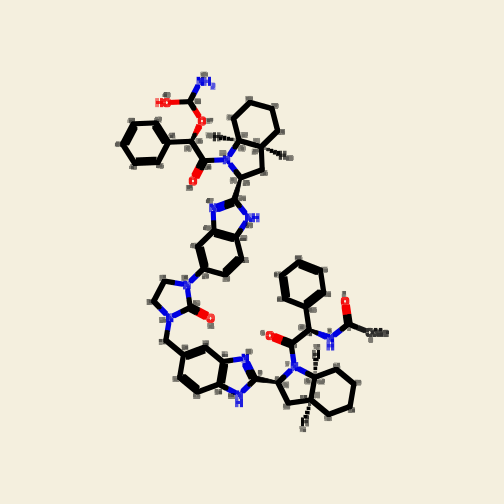 COC(=O)N[C@@H](C(=O)N1[C@H](c2nc3cc(CN4CCN(c5ccc6[nH]c([C@@H]7C[C@@H]8CCCC[C@@H]8N7C(=O)[C@H](OC(N)O)c7ccccc7)nc6c5)C4=O)ccc3[nH]2)C[C@@H]2CCCC[C@@H]21)c1ccccc1